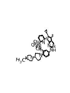 CN1CCN(C2CCN(c3ccc(Nc4ncc5c(F)c(C6CC6)n(-c6cccc(N=S(C)(C)=O)n6)c5n4)cc3F)CC2)CC1